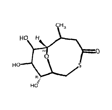 CC1CC(=O)SCC2O[C@@H]1C(O)C(O)[C@H]2O